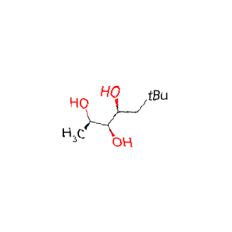 C[C@@H](O)[C@H](O)[C@@H](O)CC(C)(C)C